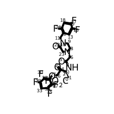 O=C(O)C[C@H](NC(=O)CN1CCN(Cc2cc(F)c(F)cc2F)C(=O)C1)C(=O)COc1c(F)c(F)cc(F)c1F